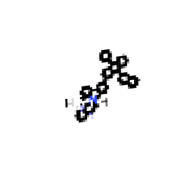 C#C/C=c1/cccc/c1=C/CN(Cc1ccc(-c2ccc3c(-c4ccccc4)c4c(c(-c5ccc6ccccc6c5)c3c2)=CCCC=4)cc1)c1ccccc1C